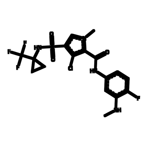 CNc1cc(NC(=O)c2c(Cl)c(S(=O)(=O)NC3(C(F)(F)F)CC3)cn2C)ccc1F